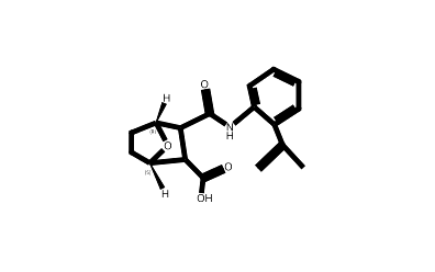 C=C(C)c1ccccc1NC(=O)C1C(C(=O)O)[C@@H]2CC[C@H]1O2